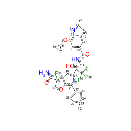 Cc1nc2c(OC3CC3)cc(C(=O)NC[C@](O)(c3cc4c(c(-c5ccc(F)cc5)n3)OC[C@]4(F)C(N)=O)C(F)(F)F)cc2s1